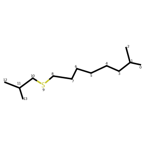 CC(C)CCCCCCSCC(C)C